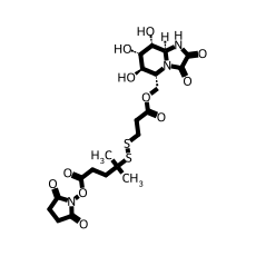 CC(C)(CCC(=O)ON1C(=O)CCC1=O)SSCCC(=O)OC[C@@H]1[C@@H](O)[C@H](O)[C@H](O)[C@H]2NC(=O)C(=O)N12